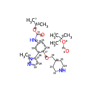 CC(C)(C)OC=O.CC(C)OC(=O)Nc1ccc(OCC2CCNCC2)c(-c2ccnn2C)c1